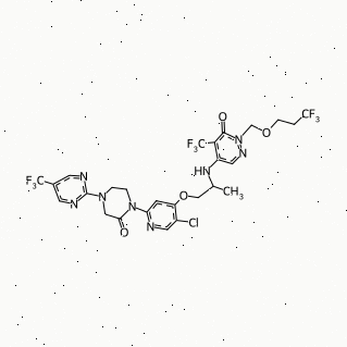 CC(COc1cc(N2CCN(c3ncc(C(F)(F)F)cn3)CC2=O)ncc1Cl)Nc1cnn(COCCC(F)(F)F)c(=O)c1C(F)(F)F